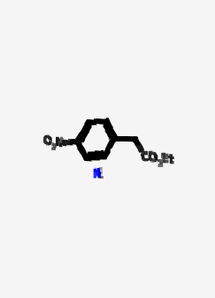 CCOC(=O)Cc1ccc([N+](=O)[O-])cc1.[N]